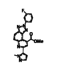 COC(=O)c1cc(-c2ccnn2C)nc2ccc3nn(-c4cccc(F)c4)nc3c12